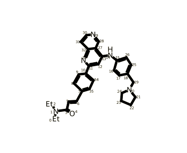 CCN(CC)C(=O)/C=C/c1ccc(-c2cc(Nc3ccc(CN4CCCC4)cc3)c3cnccc3n2)cc1